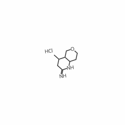 CC1CC(=N)NC2CCOCC12.Cl